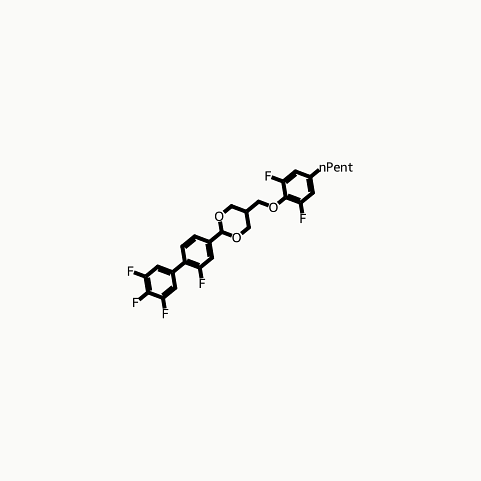 CCCCCc1cc(F)c(OCC2COC(c3ccc(-c4cc(F)c(F)c(F)c4)c(F)c3)OC2)c(F)c1